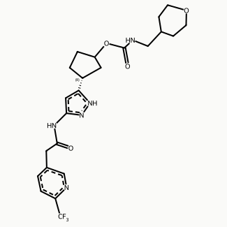 O=C(Cc1ccc(C(F)(F)F)nc1)Nc1cc([C@@H]2CCC(OC(=O)NCC3CCOCC3)C2)[nH]n1